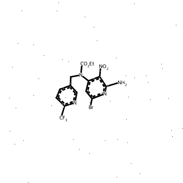 CCOC(=O)N(Cc1ccc(C(F)(F)F)nc1)c1cc(Br)nc(N)c1[N+](=O)[O-]